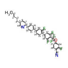 C/C=C/CCc1ccc(-c2ccc(-c3ccc(-c4cc(F)c(C(F)(F)Oc5ccc(C#N)c(F)c5)c(F)c4)c(F)c3)cc2)nc1